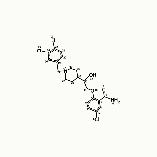 NC(=O)c1cc(Cl)ccc1OCC(O)C1CCN(Cc2ccc(Cl)c(Cl)c2)CC1